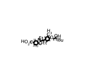 CCC(CC)(c1ccc(OCC(O)C(C)(C)C)c(C)c1)c1nc2cc(C(=O)O)ccc2o1